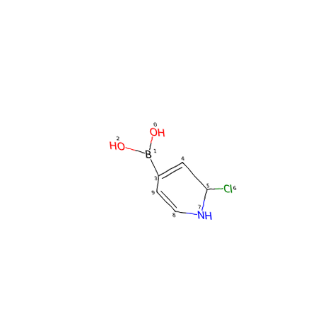 OB(O)C1=CC(Cl)NC=C1